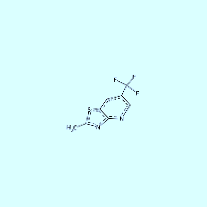 Cc1nc2ncc(C(F)(F)F)cc2s1